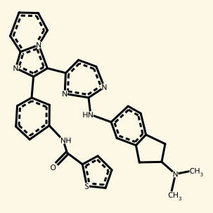 CN(C)C1Cc2ccc(Nc3nccc(-c4c(-c5cccc(NC(=O)c6cccs6)c5)nc5ccccn45)n3)cc2C1